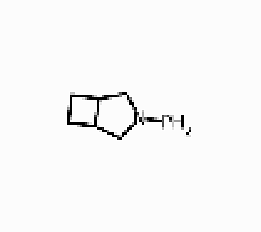 PN1CC2CCC2C1